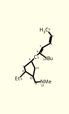 C/C=C\C=C(\CC1CC(CC)C(CNC)C1)C(C)CC